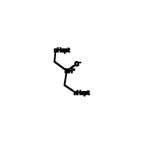 CCCCCCCC[NH+]([O-])CCCCCCCC